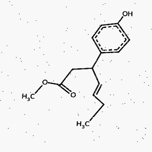 CCC=CC(CC(=O)OC)c1ccc(O)cc1